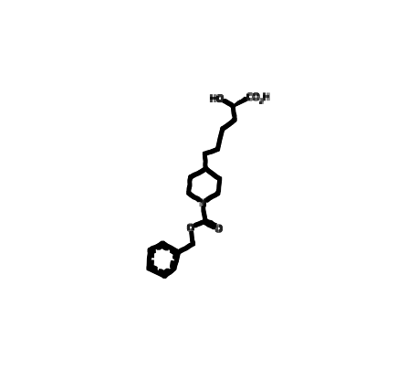 O=C(O)[C@H](O)CCCCC1CCN(C(=O)OCc2ccccc2)CC1